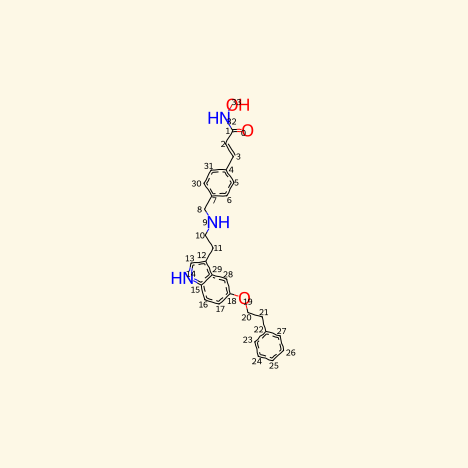 O=C(/C=C/c1ccc(CNCCc2c[nH]c3ccc(OCCc4ccccc4)cc23)cc1)NO